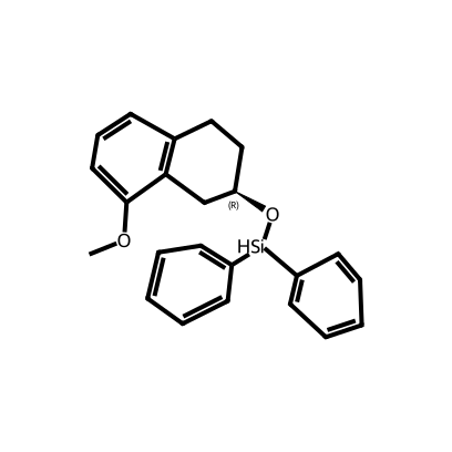 COc1cccc2c1C[C@H](O[SiH](c1ccccc1)c1ccccc1)CC2